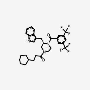 O=C(CCC1CCCCC1)N1CCN(C(=O)c2cc(C(F)(F)F)cc(C(F)(F)F)c2)[C@H](Cc2c[nH]c3ccccc23)C1